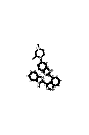 CC1CN(C)CCN1c1ccc2nc(-c3cccc4[nH]nc(-c5nc6ccccc6[nH]5)c34)[nH]c2c1